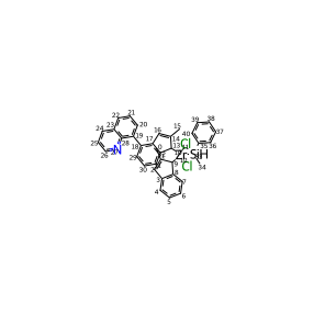 CC1=Cc2ccccc2[CH]1[Zr]([Cl])([Cl])([CH]1C(C)=Cc2c(-c3cccc4cccnc34)cccc21)[SiH](C)c1ccccc1